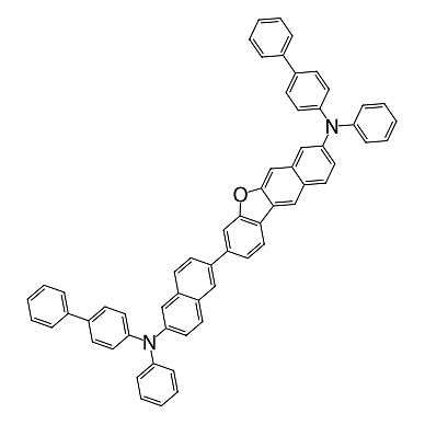 c1ccc(-c2ccc(N(c3ccccc3)c3ccc4cc(-c5ccc6c(c5)oc5cc7cc(N(c8ccccc8)c8ccc(-c9ccccc9)cc8)ccc7cc56)ccc4c3)cc2)cc1